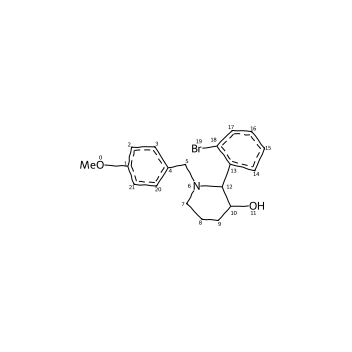 COc1ccc(CN2CCCC(O)C2c2ccccc2Br)cc1